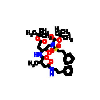 CC(CC(=O)NCCc1ccccc1)C(=O)NC(CC(=O)OC(C)(C)C)C(=O)CN(C(=O)OC(C)(C)C)S(=O)(=O)CCc1ccccc1